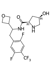 O=C(NC(Cc1cc(F)c(C(F)(F)F)cc1F)C1COC1)[C@H]1C[C@@H](O)CN1